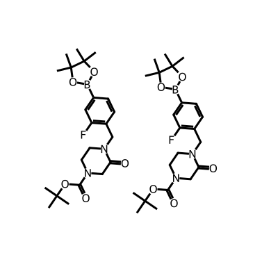 CC(C)(C)OC(=O)N1CCN(Cc2ccc(B3OC(C)(C)C(C)(C)O3)cc2F)C(=O)C1.CC(C)(C)OC(=O)N1CCN(Cc2ccc(B3OC(C)(C)C(C)(C)O3)cc2F)C(=O)C1